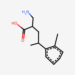 Cc1ccccc1C(C)CC(CN)C(=O)O